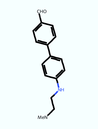 CNCCNc1ccc(-c2ccc(C=O)cc2)cc1